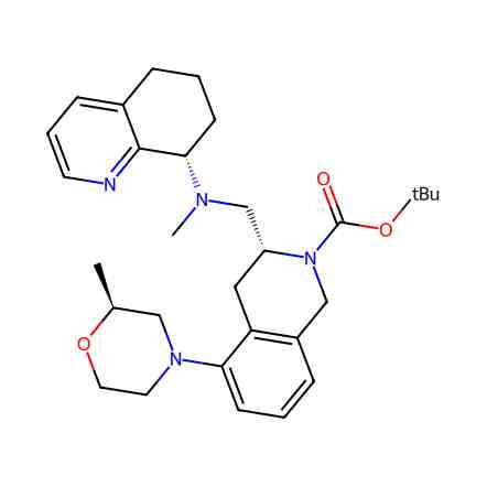 C[C@H]1CN(c2cccc3c2C[C@H](CN(C)[C@H]2CCCc4cccnc42)N(C(=O)OC(C)(C)C)C3)CCO1